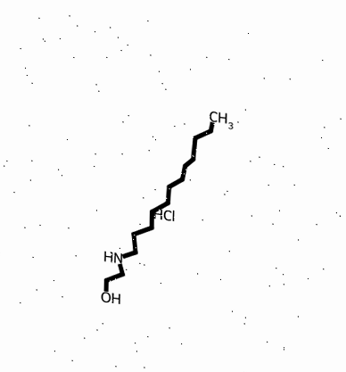 CCCCCCCCCCCCNCCO.Cl